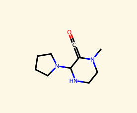 CN1CCNC(N2CCCC2)C1=C=O